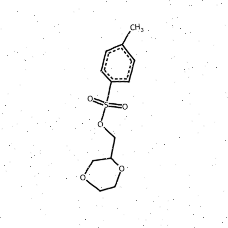 Cc1ccc(S(=O)(=O)OCC2COCCO2)cc1